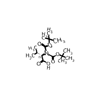 CC(C)[C@@H](C(=O)O)N(C(=O)OC(C)(C)C)C(=O)OC(C)(C)C